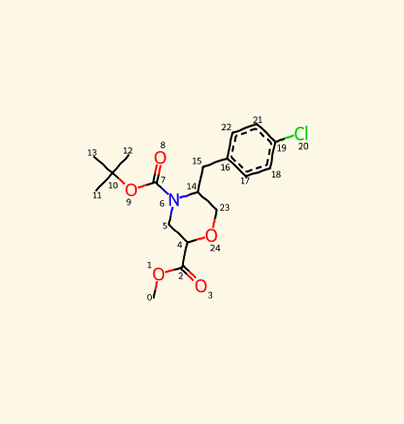 COC(=O)C1CN(C(=O)OC(C)(C)C)C(Cc2ccc(Cl)cc2)CO1